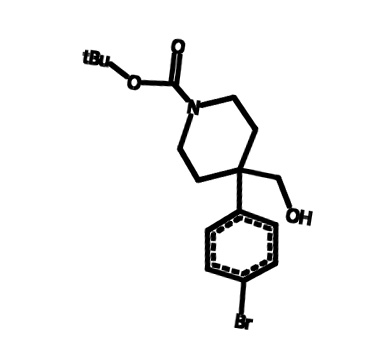 CC(C)(C)OC(=O)N1CCC(CO)(c2ccc(Br)cc2)CC1